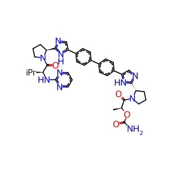 CC(C)[C@H](Nc1ncccn1)C(=O)N1CCC[C@H]1c1ncc(-c2ccc(-c3ccc(-c4cnc([C@@H]5CCCN5C(=O)[C@H](C)OC(N)=O)[nH]4)cc3)cc2)[nH]1